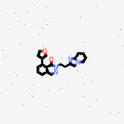 O=c1c2c(-c3ccoc3)cccc2cnn1CCc1cn2ccccc2n1